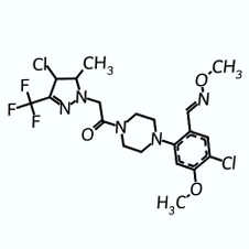 CO/N=C/c1cc(Cl)c(OC)cc1N1CCN(C(=O)CN2N=C(C(F)(F)F)C(Cl)C2C)CC1